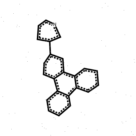 c1cncc(-c2ccc3c4ccccc4c4ccccc4c3c2)c1